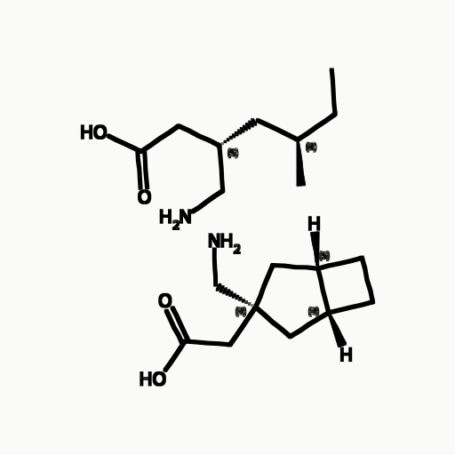 CC[C@@H](C)C[C@H](CN)CC(=O)O.NC[C@@]1(CC(=O)O)C[C@H]2CC[C@H]2C1